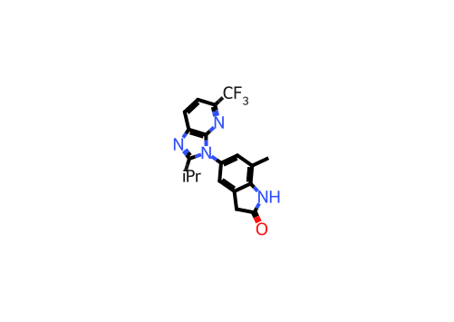 Cc1cc(-n2c(C(C)C)nc3ccc(C(F)(F)F)nc32)cc2c1NC(=O)C2